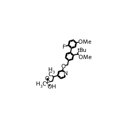 COc1ccc(F)c(-c2ccc(COc3cc(C(C)CP(C)(=O)O)ccn3)cc2C(OC)C(C)(C)C)c1